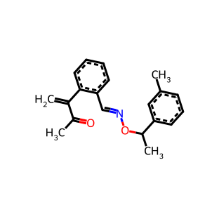 C=C(C(C)=O)c1ccccc1/C=N/OC(C)c1cccc(C)c1